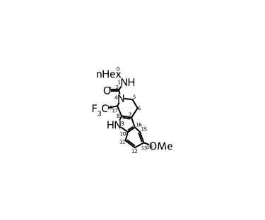 CCCCCCNC(=O)N1CCc2c([nH]c3ccc(OC)cc23)C1C(F)(F)F